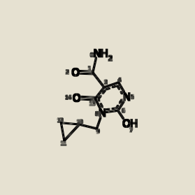 NC(=O)c1cnc(O)n(CC2CC2)c1=O